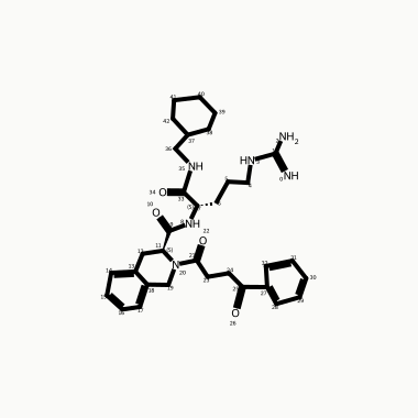 N=C(N)NCCC[C@H](NC(=O)[C@@H]1Cc2ccccc2CN1C(=O)CCC(=O)c1ccccc1)C(=O)NCC1CCCCC1